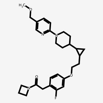 COCc1ccc(N2CCC(C3CC3CCOc3ccc(CC(=O)N4CCC4)c(F)c3)CC2)nc1